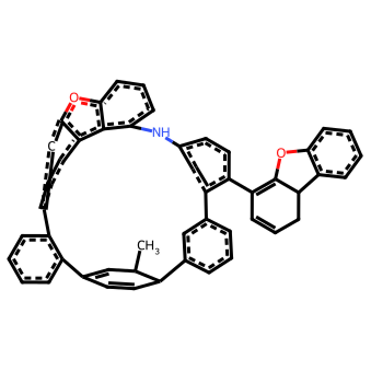 CC1C=C2C=CC1c1cccc(c1)-c1cc(ccc1C1=C3Oc4ccccc4C3CC=C1)Nc1cccc3oc4cc(ccc4c13)-c1ccccc12